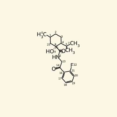 CC1CCC(C(C)C)[C@@](O)(C(=O)NCC(=O)c2ccccc2F)C1